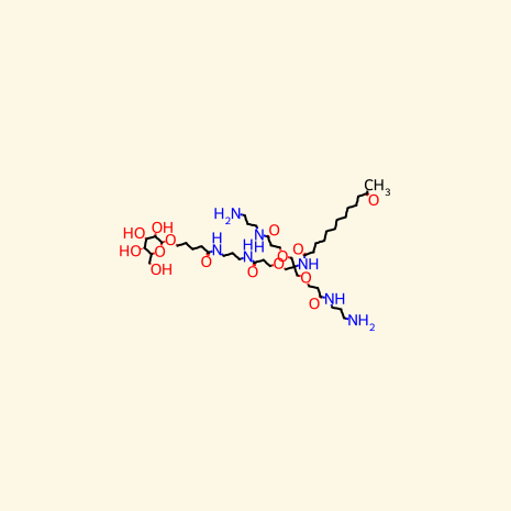 CC(=O)CCCCCCCCCCC(=O)NC(COCCC(=O)NCCCN)(COCCC(=O)NCCCN)COCCC(=O)NCCCNC(=O)CCCCO[C@H]1OC(CO)[C@H](O)C(O)C1O